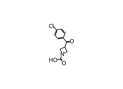 O=C(c1ccc(Cl)cc1)C1CN(C(=O)O)C1